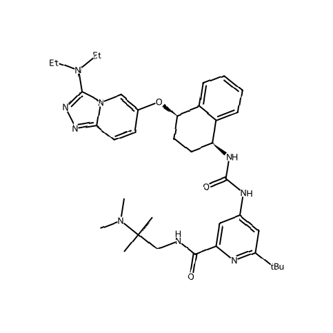 CCN(CC)c1nnc2ccc(O[C@@H]3CC[C@H](NC(=O)Nc4cc(C(=O)NCC(C)(C)N(C)C)nc(C(C)(C)C)c4)c4ccccc43)cn12